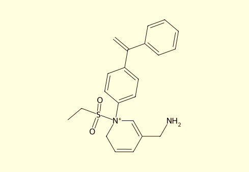 C=C(c1ccccc1)c1ccc([N+]2(S(=O)(=O)CC)C=C(CN)C=CC2)cc1